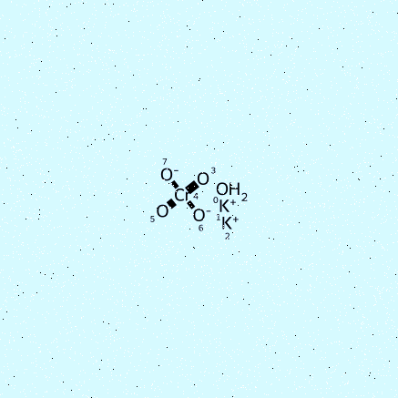 O.[K+].[K+].[O]=[Cr](=[O])([O-])[O-]